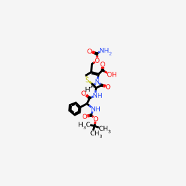 CC(C)(C)OC(=O)NC(C(=O)NC1C(=O)N2C(C(=O)O)=C(COC(N)=O)CS[C@H]12)c1ccccc1